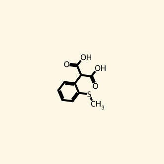 CSc1ccccc1C(C(=O)O)C(=O)O